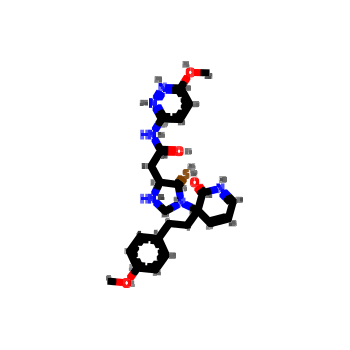 COc1ccc(CCC2(N3CNC(CC(=O)Nc4ccc(OC)nn4)C3=S)C=CC=NC2=O)cc1